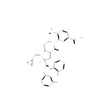 COC(=O)c1ccc([N+](=O)[O-])c(N2CC[C@H]3[C@@H](C2=O)[C@H](c2cccc(Cl)c2F)[C@](C)(C(=O)Nc2cccc(Cl)c2)N3CC2CC2)c1